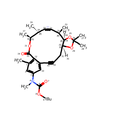 Cc1cc(N(C)C(=O)OC(C)(C)C)cc2c1C(=O)O[C@@H](C)[C@H](C)/C=C\[C@@H](C)[C@H]1OC(C)(C)O[C@H]1CC#C2